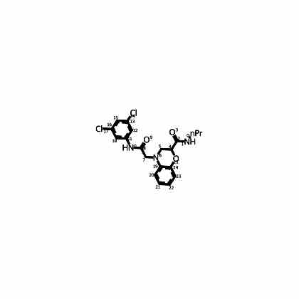 CCCNC(=O)C1CN(CC(=O)Nc2cc(Cl)cc(Cl)c2)c2ccccc2O1